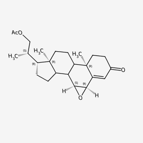 CC(=O)OC[C@@H](C)[C@H]1CCC2C3C(CC[C@@]21C)[C@@]1(C)CCC(=O)C=C1[C@H]1O[C@@H]31